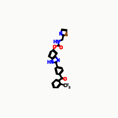 O=C(NCc1nccs1)Oc1ccc2[nH]c(-c3ccc(C(=O)c4ccccc4C(F)(F)F)cc3)nc2c1